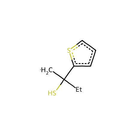 [CH2]C(S)(CC)c1cccs1